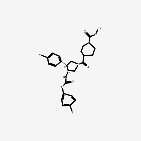 CC(C)(C)OC(=O)N1CCC(C(=O)N2C[C@@H](NC(=O)Oc3ccc(F)cc3)[C@H](c3ccc(Cl)cc3)C2)CC1